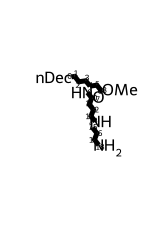 CCCCCCCCCCCCCC(CC(=O)OC)NCCCCNCCCN